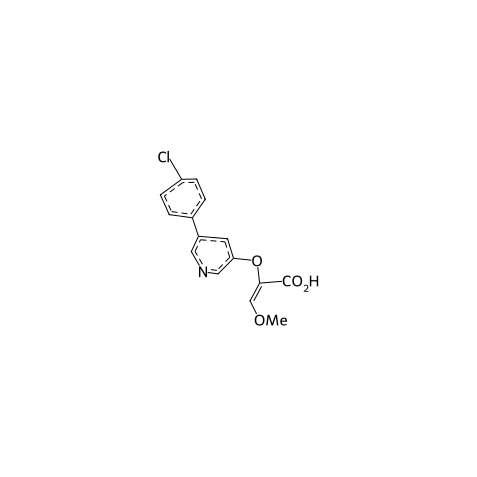 COC=C(Oc1cncc(-c2ccc(Cl)cc2)c1)C(=O)O